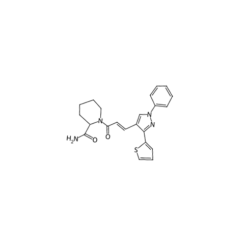 NC(=O)C1CCCCN1C(=O)C=Cc1cn(-c2ccccc2)nc1-c1cccs1